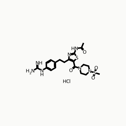 CC(=O)Nc1nc(CCc2ccc(NC(=N)N)cc2)c(C(=O)N2CCN(S(C)(=O)=O)CC2)s1.Cl